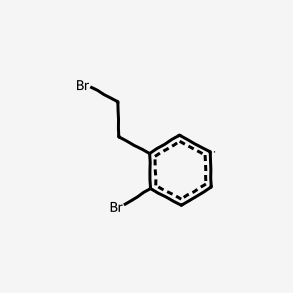 BrCCc1c[c]ccc1Br